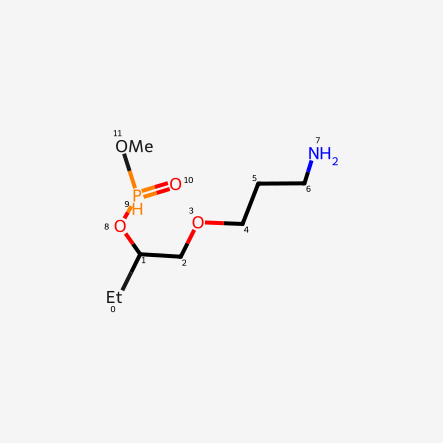 CCC(COCCCN)O[PH](=O)OC